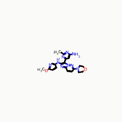 COc1ccc(Nc2nc3ccc(N4CCOCC4)nn3c2-c2cc(N)nc(C)n2)cn1